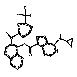 CN(c1cccc(C(F)(F)F)c1)c1ccc2cnccc2c1NC(=O)c1csc2c(NC3CC3)ncnc12